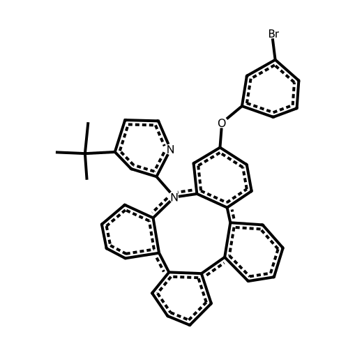 CC(C)(C)c1ccnc(-n2c3ccccc3c3ccccc3c3ccccc3c3ccc(Oc4cccc(Br)c4)cc32)c1